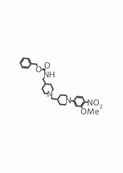 COc1cc(N2CCC(CN3CCC(CNC(=O)OCc4ccccc4)CC3)CC2)ccc1[N+](=O)[O-]